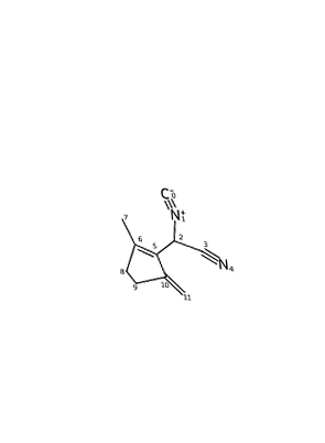 [C-]#[N+]C(C#N)C1=C(C)CCC1=C